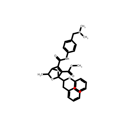 COC(=O)C1=C(C(=O)Nc2ccc(CN(C)C)cc2)C2OC1(C(Cc1ccccc1)Oc1ccccc1)OC2C